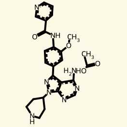 CC(=O)O.COc1cc(-c2nn(C3CCNCC3)c3ncnc(N)c23)ccc1NC(=O)c1cccnc1